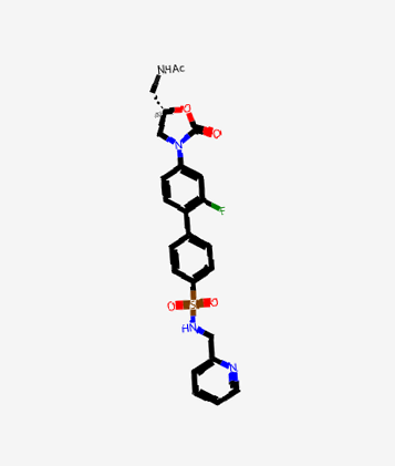 CC(=O)NC[C@H]1CN(c2ccc(-c3ccc(S(=O)(=O)NCc4ccccn4)cc3)c(F)c2)C(=O)O1